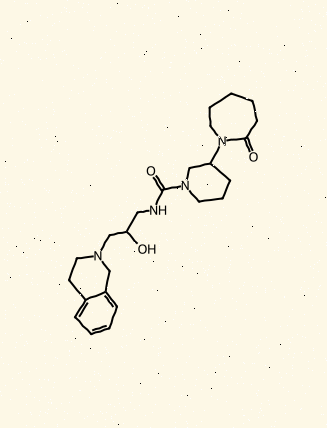 O=C(NCC(O)CN1CCc2ccccc2C1)N1CCCC(N2CCCCCC2=O)C1